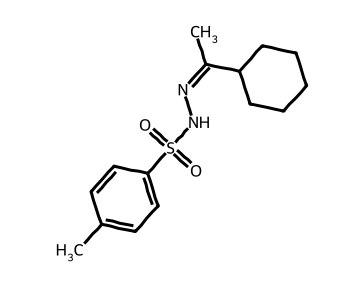 CC(=NNS(=O)(=O)c1ccc(C)cc1)C1CCCCC1